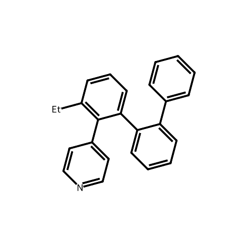 CCc1cccc(-c2ccccc2-c2ccccc2)c1-c1ccncc1